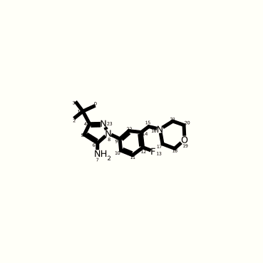 CC(C)(C)c1cc(N)n(-c2ccc(F)c(CN3CCOCC3)c2)n1